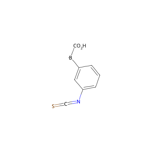 O=C(O)[B]c1cccc(N=C=S)c1